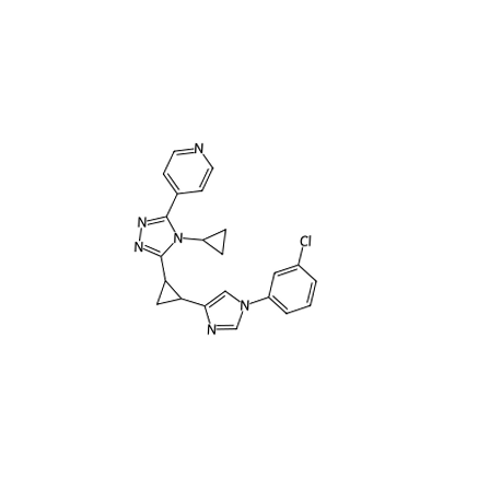 Clc1cccc(-n2cnc(C3CC3c3nnc(-c4ccncc4)n3C3CC3)c2)c1